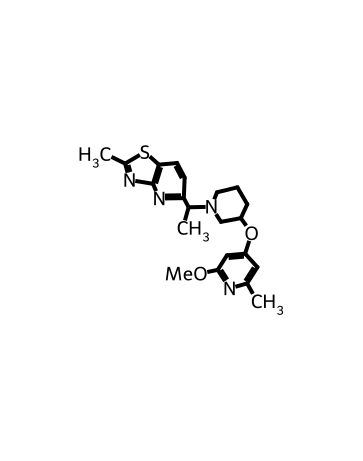 COc1cc(OC2CCCN(C(C)c3ccc4sc(C)nc4n3)C2)cc(C)n1